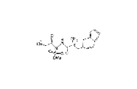 CC[C@H](C)CC(=O)N(NC(=O)[C@@H](N)Cc1ccc2ccccc2c1)S(=O)(=O)OC